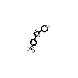 O=[N+]([O-])c1ccc(-c2csc(C3CCNCC3)n2)cc1